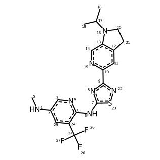 CNc1cnc(Nc2nc(-c3cc4c(cn3)N(C(C)C)CC4)ns2)c(C(F)(F)F)c1